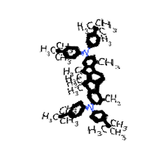 CC1=CC(N(c2ccc(C(C)(C)C)cc2)c2ccc(C(C)(C)C)cc2)=CC2C1c1ccc3c(c1C2(C)C)C(C)(C)c1cc(N(c2ccc(C(C)(C)C)cc2)c2ccc(C(C)(C)C)cc2)cc(C)c1-3